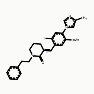 COc1cc(/C=C2\CCCN(CCc3ccccc3)C2=O)c(F)cc1-n1cnc(C)c1